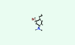 C=Cc1ccc(N(C)C)cc1Br